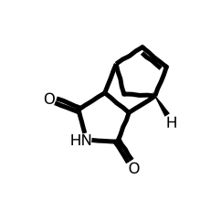 O=C1NC(=O)C2C1C1C=C[C@H]2C1